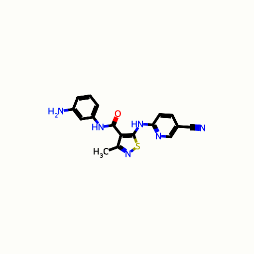 Cc1nsc(Nc2ccc(C#N)cn2)c1C(=O)Nc1cccc(N)c1